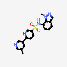 Cc1cncc(-c2ccc(S(=O)(=O)Nc3cccc4cnn(C)c34)cn2)c1